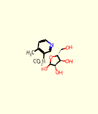 Cc1ccncc1C(=O)O.OC[C@H]1OC(O)[C@H](O)[C@@H]1O